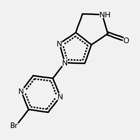 O=C1NCc2nn(-c3cnc(Br)cn3)cc21